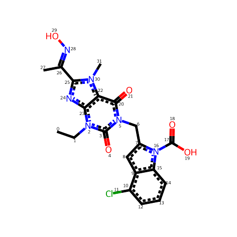 CCn1c(=O)n(Cc2cc3c(Cl)cccc3n2C(=O)O)c(=O)c2c1nc(/C(C)=N/O)n2C